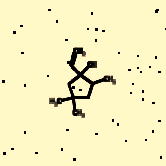 C=CC1(O)CC(C)(C)CC1C